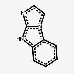 [c]1[c]c2[nH]c3nccn3c2cc1